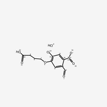 Cl.O=Cc1cc(OCCCC(=O)O)c(Cl)cc1[N+](=O)[O-]